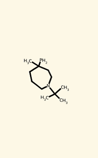 CC1(P)CCCN(C(C)(C)C)CC1